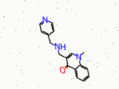 Cn1cc(CNCc2ccncc2)c(=O)c2ccccc21